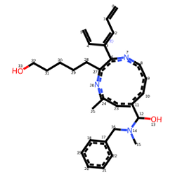 C=C/C=C(\C=C)c1ncccc(C(O)N(C)Cc2ccccc2)cc(C)nc1CCCCCO